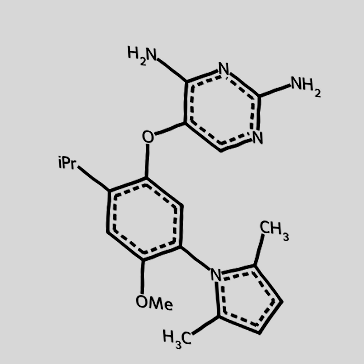 COc1cc(C(C)C)c(Oc2cnc(N)nc2N)cc1-n1c(C)ccc1C